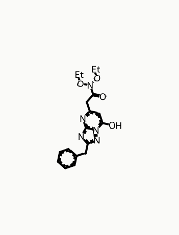 CCON(OCC)C(=O)Cc1cc(O)n2nc(Cc3ccccc3)nc2n1